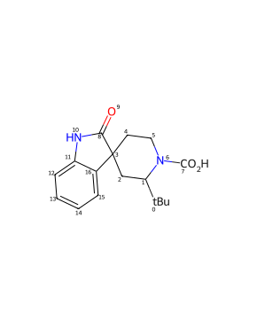 CC(C)(C)C1CC2(CCN1C(=O)O)C(=O)Nc1ccccc12